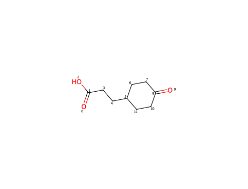 O=C(O)CCC1CCC(=O)CC1